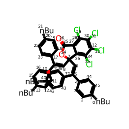 CCCCc1ccc(C(=CC2(C=C(c3ccc(CCCC)cc3)c3ccc(CCCC)cc3)OC(=O)c3c(Cl)c(Cl)c(Cl)c(Cl)c32)c2ccc(CCCC)cc2)cc1